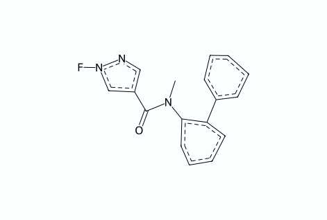 CN(C(=O)c1cnn(F)c1)c1ccccc1-c1ccccc1